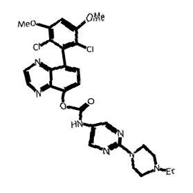 CCN1CCN(c2ncc(NC(=O)Oc3ccc(-c4c(Cl)c(OC)cc(OC)c4Cl)c4nccnc34)cn2)CC1